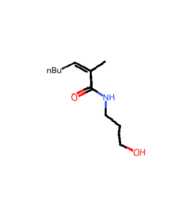 CCCCC=C(C)C(=O)NCCCO